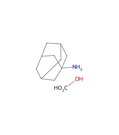 NC12CC3CC(CC(C3)C1)C2.O=C(O)O